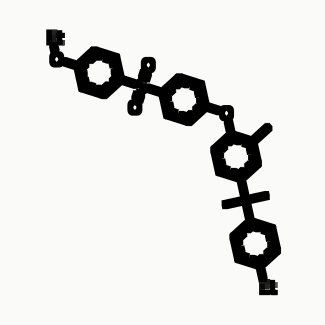 CCOc1ccc(S(=O)(=O)c2ccc(Oc3ccc(C(C)(C)c4ccc(CC)cc4)cc3C)cc2)cc1